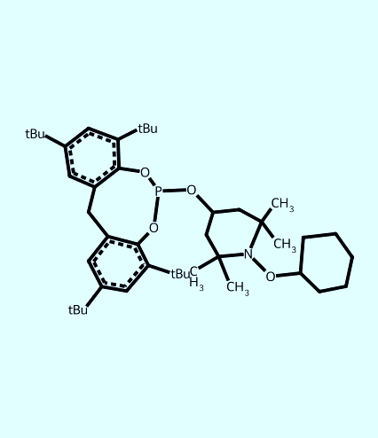 CC(C)(C)c1cc2c(c(C(C)(C)C)c1)OP(OC1CC(C)(C)N(OC3CCCCC3)C(C)(C)C1)Oc1c(cc(C(C)(C)C)cc1C(C)(C)C)C2